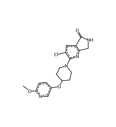 COc1ccc(OC2CCN(c3nc4c(cc3Cl)C(=O)NC4)CC2)cn1